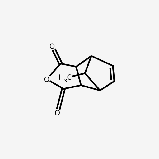 CC1C2C=CC1C1C(=O)OC(=O)C21